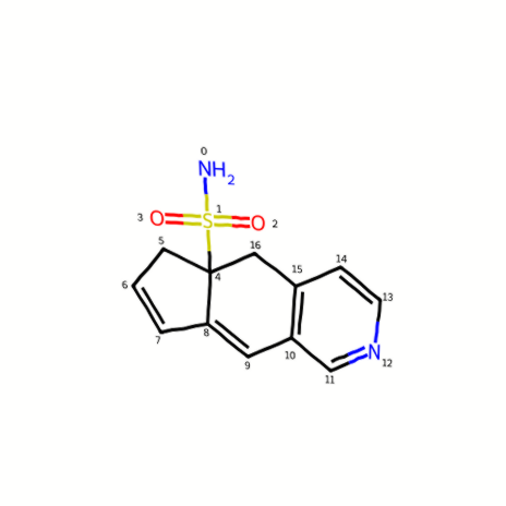 NS(=O)(=O)C12CC=CC1=Cc1cnccc1C2